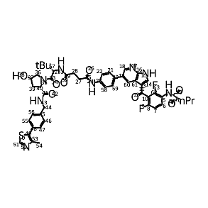 CCCS(=O)(=O)Nc1ccc(F)c(C(=O)c2c[nH]c3ncc(-c4ccc(NC(=O)CCC(=O)N[C@H](C(=O)N5C[C@H](O)C[C@H]5C(=O)NCc5ccc(-c6scnc6C)cc5)C(C)(C)C)cc4)cc23)c1F